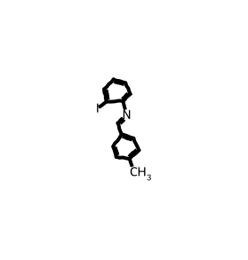 Cc1ccc(/C=N/c2ccccc2I)cc1